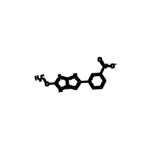 COc1nn2cc(-c3cccc([N+](=O)[O-])c3)nc2s1